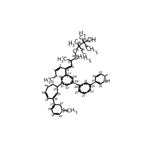 CC/C=C\C(=C/C(C)BOC(C)(C)C(C)(C)O)c1cc(-c2cccc(C3=CNCC=C3)c2)cc(C2C=C(C3=CC=CN(C)C3)C=CCC2)c1